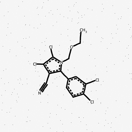 CCOCn1c(Cl)c(Cl)c(C#N)c1-c1ccc(Cl)c(Cl)c1